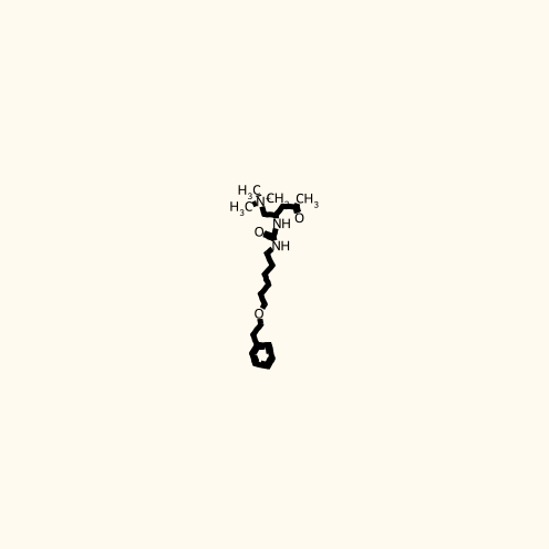 CC(=O)CC(C[N+](C)(C)C)NC(=O)NCCCCCCOCCc1ccccc1